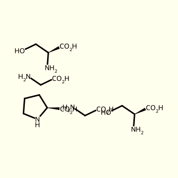 NCC(=O)O.NCC(=O)O.N[C@@H](CO)C(=O)O.N[C@@H](CO)C(=O)O.O=C(O)[C@@H]1CCCN1